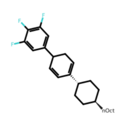 CCCCCCCC[C@H]1CC[C@H](C2=CCC(c3cc(F)c(F)c(F)c3)C=C2)CC1